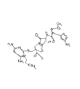 CCC[n+]1c(N)cc(N)nc1SCC1(C(=O)[O-])CS[C@@H]2C(NC(=O)C(=NOC)c3nsc(N)n3)C(=O)N2C1